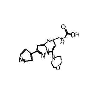 O=C(O)NCc1cc(N2CCOCC2)n2nc(-c3ccncc3)cc2n1